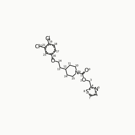 O=C(OCc1nccs1)N1CCC(CCOc2ccc(Cl)c(Cl)c2)CC1